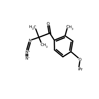 Cc1cc(OC(C)C)ccc1C(=O)C(C)(C)N=[N+]=[N-]